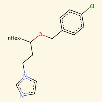 CCCCCCC(CCn1ccnc1)OCc1ccc(Cl)cc1